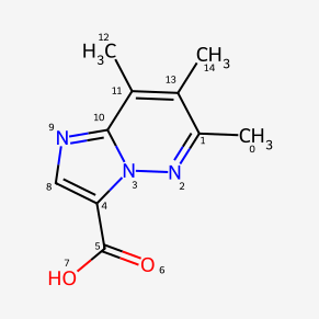 Cc1nn2c(C(=O)O)cnc2c(C)c1C